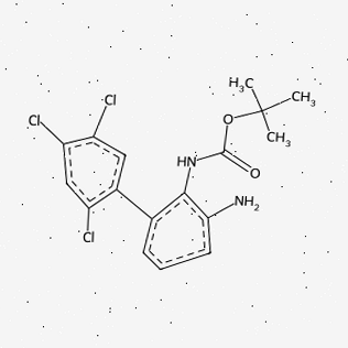 CC(C)(C)OC(=O)Nc1c(N)cccc1-c1cc(Cl)c(Cl)cc1Cl